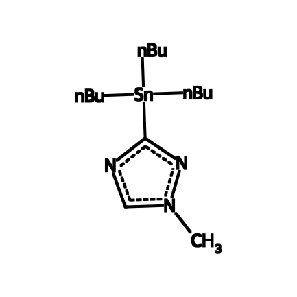 CCC[CH2][Sn]([CH2]CCC)([CH2]CCC)[c]1ncn(C)n1